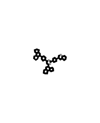 C1=Cc2c(c(-c3ccc(-c4cc(-c5cc6ccccc6c6ccccc56)nc(-c5ccc(-c6cnc7ccccc7c6)cc5)n4)cc3)cc3ccccc23)CC1